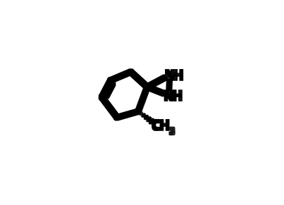 C[C@@H]1CC=CCC12NN2